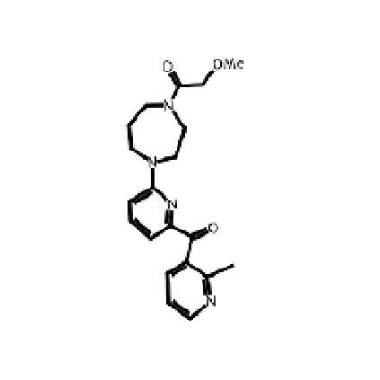 COCC(=O)N1CCCN(c2cccc(C(=O)c3cccnc3C)n2)CC1